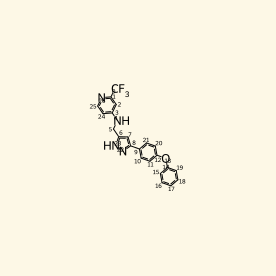 FC(F)(F)c1cc(NCc2cc(-c3ccc(Oc4ccccc4)cc3)n[nH]2)ccn1